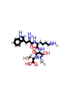 C[C@@H](O)[C@H](NC(=O)[C@H](CCCCN)NC(=O)[C@H](N)Cc1c[nH]c2ccccc12)C(=O)N[C@@H](CS)C(=O)O